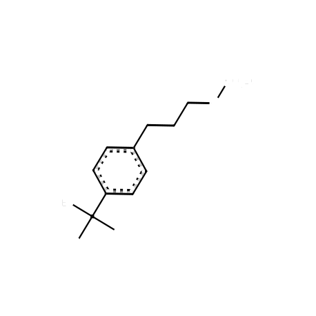 CCOC(=O)OCCCc1ccc(C(C)(C)CC)cc1